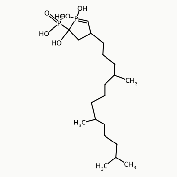 CC(C)CCCC(C)CCCC(C)CCCC1C=P(O)(O)C(O)(P(=O)(O)O)C1